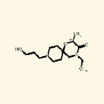 CCN1CC2(CCN(CCCO)CC2)O[C@@H](C)C1=O